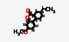 CCc1ccc2c(c1)c(=O)oc1cc(OC)ccc12